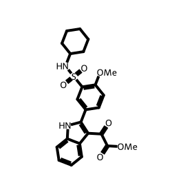 COC(=O)C(=O)c1c(-c2ccc(OC)c(S(=O)(=O)NC3CCCCC3)c2)[nH]c2ccccc12